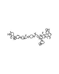 C=C1CCC(n2ncc3cc(N4CCN(CC5(F)CC6(CCN(CC7(COc8nc(N9CCC[C@]%10(CCO%10)C9)c9cnc(-c%10cc(O)cc%11ccc(F)c(CC)c%10%11)c(F)c9n8)CC7)CC6)C5)CC4)ccc32)C(=O)N1